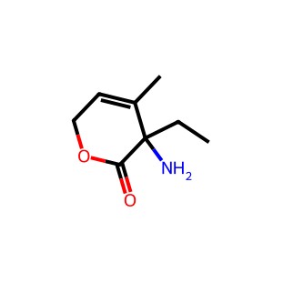 CCC1(N)C(=O)OCC=C1C